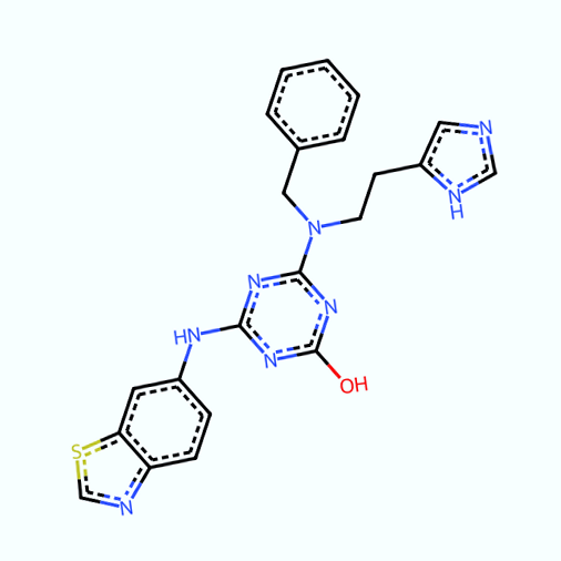 Oc1nc(Nc2ccc3ncsc3c2)nc(N(CCc2cnc[nH]2)Cc2ccccc2)n1